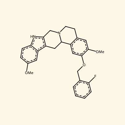 COc1ccc2[nH]c3c(c2c1)CC1c2cc(OCc4ccccc4F)c(OC)cc2CCN1C3